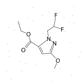 CCOC(=O)c1cc(OC)nn1CC(F)F